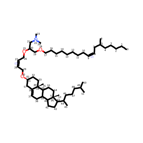 CCCCCC(C)C/C=C\CCCCCCCCOCC(CN(C)C)OC/C=C\CO[C@H]1CC[C@@]2(C)C(=CCC3C4CCC(C(C)CCCC(C)C)[C@@]4(C)CCC32)C1